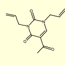 C=CCn1cc(C(C)=O)c(=O)n(CC=C)c1=O